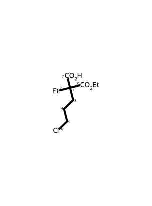 CCOC(=O)C(CC)(CCCCl)C(=O)O